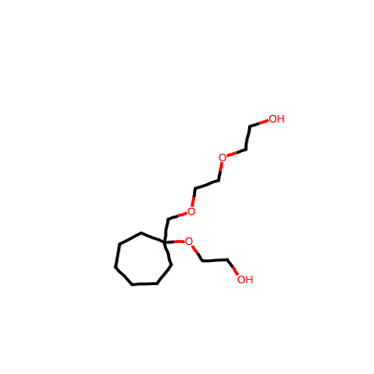 OCCOCCOCC1(OCCO)CCCCCC1